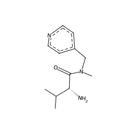 CC(C)[C@@H](N)C(=O)N(C)Cc1ccncc1